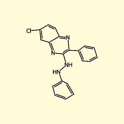 Clc1ccc2nc(-c3ccccc3)c(NNc3ccccc3)nc2c1